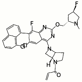 C=CC(=O)N1CCC2[C@H]1CN2c1nc(OC[C@@H]2C[C@@H](F)CN2C)nc2c(F)c(-c3cccc4cccc(Cl)c34)c(Cl)cc12